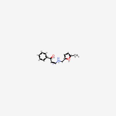 Cc1ccc(CN/C=C\C(=O)c2ccccc2)o1